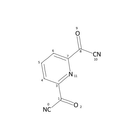 N#CC(=O)c1cccc(C(=O)C#N)n1